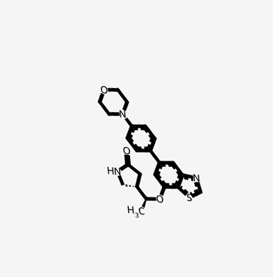 C[C@H](Oc1cc(-c2ccc(N3CCOCC3)cc2)cc2ncsc12)[C@@H]1CNC(=O)C1